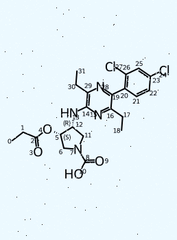 CCC(=O)O[C@H]1CN(C(=O)O)C[C@H]1Nc1nc(CC)c(-c2ccc(Cl)cc2Cl)nc1CC